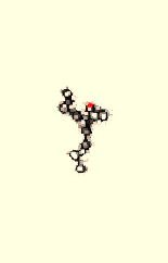 c1ccc(-c2cccc3c2oc2ccc(-c4ccc(N(c5ccc(-c6cccc7c6sc6ccccc67)cc5)c5cc6ccccc6c6ccccc56)cc4)cc23)cc1